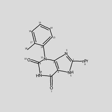 CCCc1nc2c([nH]1)c(=O)[nH]c(=O)n2-c1ccccc1C